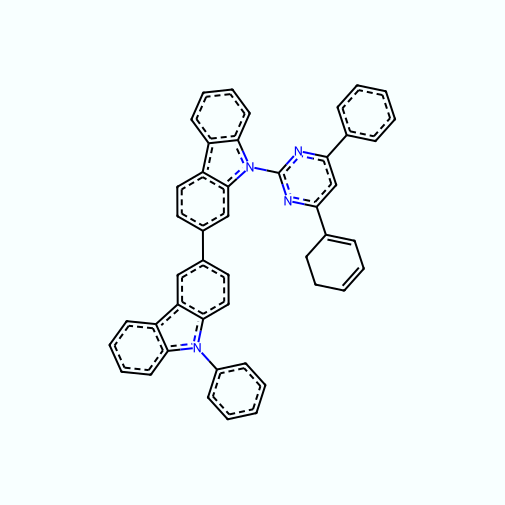 C1=CCCC(c2cc(-c3ccccc3)nc(-n3c4ccccc4c4ccc(-c5ccc6c(c5)c5ccccc5n6-c5ccccc5)cc43)n2)=C1